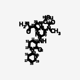 CN(C(=O)OC(C)(C)C)c1cc(Nc2cccn(-c3ccccn3)c2=O)nc2c(C(N)=O)cnn12